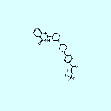 O=C(NCC(F)(F)F)c1ccc(N2CCC(N3CCCC(c4nc5ccccc5c(=O)[nH]4)C3)CC2)cn1